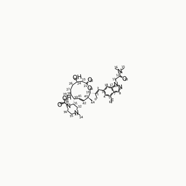 C/C(=C\c1cc(F)c2cnn(CC(=O)N(C)C)c2c1)[C@H]1OC(=O)C[C@H](O)CC[C@H](C)[C@@H](C2CN(C)CCN2C(=O)O)/C=C/[C@@H]1C